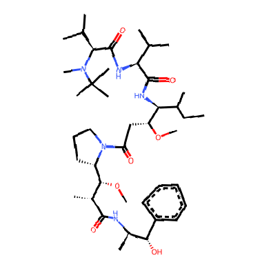 CCC(C)[C@H](NC(=O)[C@@H](NC(=O)[C@H](C(C)C)N(C)C(C)(C)C)C(C)C)[C@@H](CC(=O)N1CCC[C@H]1[C@H](OC)[C@@H](C)C(=O)N[C@H](C)[C@@H](O)c1ccccc1)OC